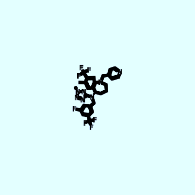 Cc1cc2c(cc1C(F)(F)F)N(Cc1ccncc1)CCC[C@@H]2N(Cc1cc(F)cc(C(F)(F)F)c1)c1nnn(C)n1